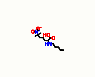 CCCCCNC(CCCC(C)(C)[N+](=O)[O-])C(=O)O